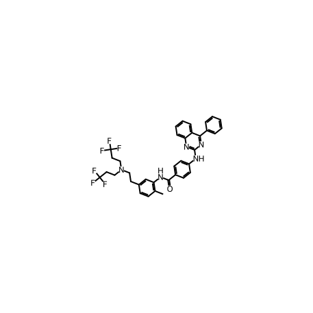 Cc1ccc(CCN(CCC(F)(F)F)CCC(F)(F)F)cc1NC(=O)c1ccc(Nc2nc(-c3ccccc3)c3ccccc3n2)cc1